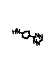 CNc1ccc(-c2nncnn2)cc1